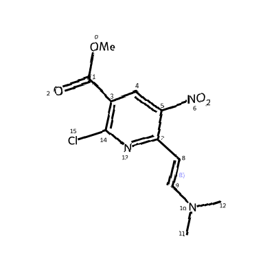 COC(=O)c1cc([N+](=O)[O-])c(/C=C/N(C)C)nc1Cl